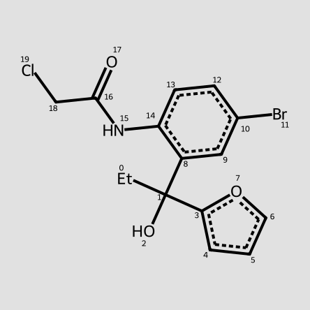 CCC(O)(c1ccco1)c1cc(Br)ccc1NC(=O)CCl